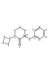 O=C1C(C2CCC2)CCCN1Cc1ccccc1